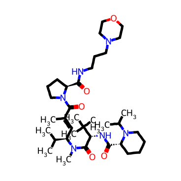 C/C(=C\[C@H](C(C)C)N(C)C(=O)[C@@H](NC(=O)[C@H]1CCCCN1C(C)C)C(C)(C)C)C(=O)N1CCC[C@H]1C(=O)NCCCN1CCOCC1